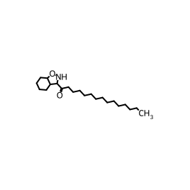 CCCCCCCCCCCCCCC(=O)C1NOC2CCCCC21